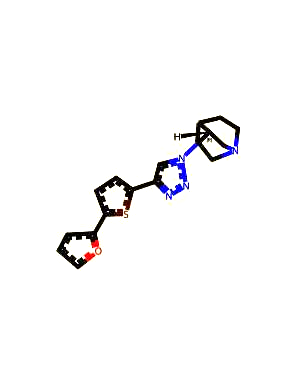 c1coc(-c2ccc(-c3cn([C@H]4CN5CCC4CC5)nn3)s2)c1